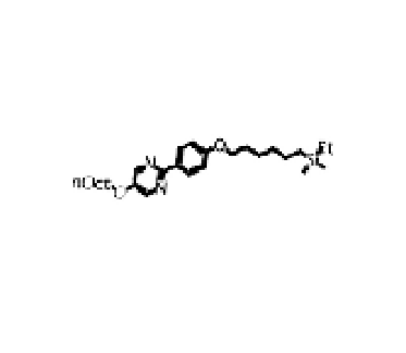 CCCCCCCCOc1cnc(-c2ccc(OCCCCCC[Si](C)(C)CC)cc2)nc1